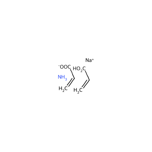 C=CC(=O)O.C=CC(=O)[O-].N.[Na+]